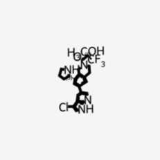 C[C@](O)(C(=O)N1CCc2cc(-c3cnc4[nH]cc(Cl)c4c3)cc([C@@H]3CCCN3)c2C1)C(F)(F)F